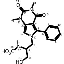 Cn1c(=O)c2c(-c3ccccc3)n(CC(CO)NC(=O)O)cc2n(C)c1=O